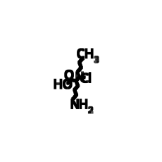 CCCCCN(Cl)C(CCCCN)C(=O)O